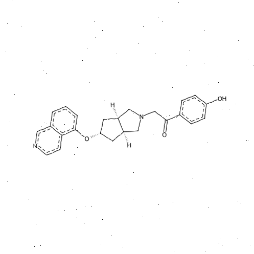 O=C(CN1C[C@H]2C[C@H](Oc3cccc4cnccc34)C[C@H]2C1)c1ccc(O)cc1